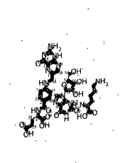 NCCCCC(N)C(=O)O.Nc1nc(=O)c2nc(CNc3ccc(C(=O)N[C@@H](CCC(=O)O)C(=O)O)cc3)cnc2[nH]1.O=c1[nH]c(=O)c2ncn([C@@H]3O[C@H](CO)[C@@H](O)[C@H]3O)c2[nH]1